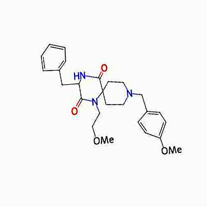 COCCN1C(=O)C(Cc2ccccc2)NC(=O)C12CCN(Cc1ccc(OC)cc1)CC2